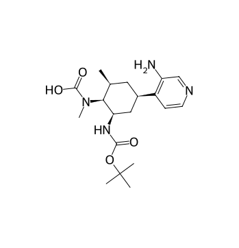 C[C@H]1C[C@@H](c2ccncc2N)C[C@@H](NC(=O)OC(C)(C)C)[C@H]1N(C)C(=O)O